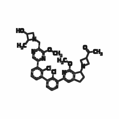 COc1nc(-c2cccc(-c3cccc(-c4cc5c(c(OC)n4)C(N4CC(C(C)=O)C4)CC5)c3Cl)c2Cl)cnc1CN1CC(O)C1C